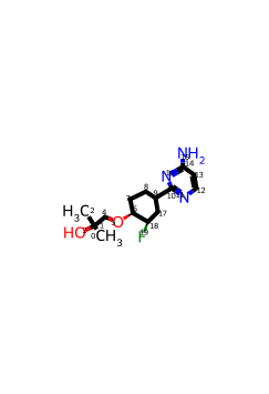 CC(C)(O)CO[C@H]1CCC(c2nccc(N)n2)C[C@H]1F